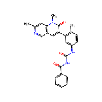 Cc1cc2c(cn1)cc(-c1cc(NC(=O)NC(=O)c3ccccc3)ccc1C)c(=O)n2C